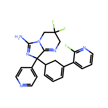 NC1=NC(c2ccncc2)(C2C=CC=C(c3cccnc3F)C2)C2=NCC(F)(F)CN12